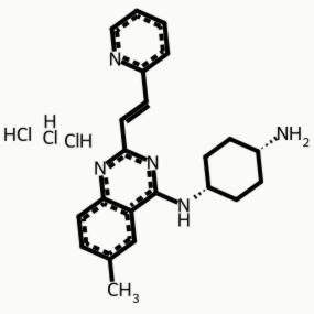 Cc1ccc2nc(C=Cc3ccccn3)nc(N[C@H]3CC[C@@H](N)CC3)c2c1.Cl.Cl.Cl